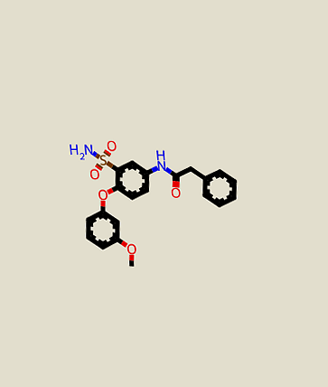 COc1cccc(Oc2ccc(NC(=O)Cc3ccccc3)cc2S(N)(=O)=O)c1